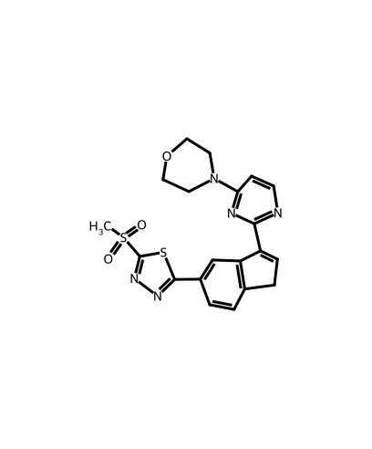 CS(=O)(=O)c1nnc(-c2ccc3c(c2)C(c2nccc(N4CCOCC4)n2)=CC3)s1